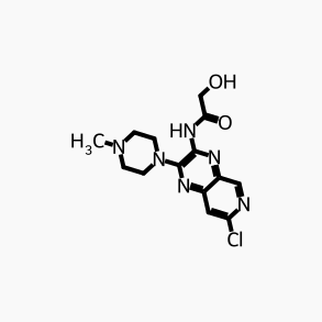 CN1CCN(c2nc3cc(Cl)ncc3nc2NC(=O)CO)CC1